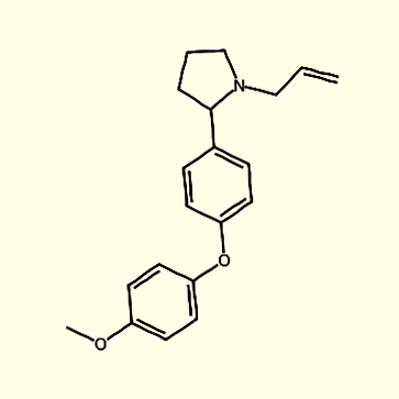 C=CCN1CCCC1c1ccc(Oc2ccc(OC)cc2)cc1